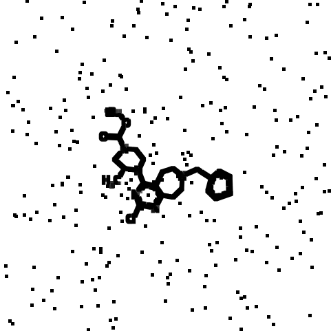 C[C@H]1CN(C(=O)OC(C)(C)C)CCN1c1nc(Cl)nc2c1CCN(Cc1ccccc1)CC2